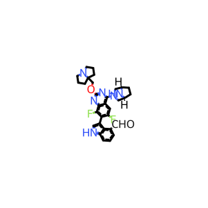 O=Cc1cccc2[nH]cc(-c3c(F)cc4c(N5C[C@H]6CC[C@@H](C5)N6)nc(OCC56CCCN5CCC6)nc4c3F)c12